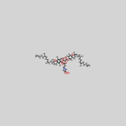 Cc1c(C)c2c(c(C)c1OC(=O)C(OC(=O)CCN1CC(O)C1)C(=O)Oc1c(C)c(C)c3c(c1C)CC[C@@](C)(CCC[C@H](C)CCC[C@H](C)CCCC(C)C)O3)CC[C@@](C)(CCC[C@H](C)CCC[C@H](C)CCCC(C)C)O2